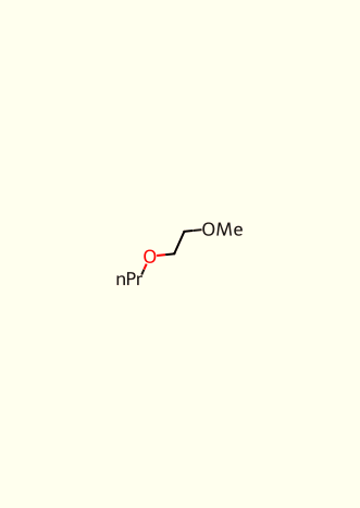 CCCOCCOC